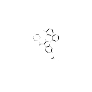 Cc1ccccc1Oc1c(C(=O)N2CCNCC2)c2ccc(OC(=O)C(F)(F)F)cc2n1-c1ccccc1